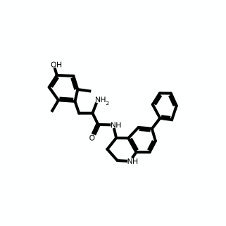 Cc1cc(O)cc(C)c1CC(N)C(=O)NC1CCNc2ccc(-c3ccccc3)cc21